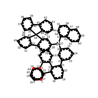 c1ccc(-c2ccccc2-c2c(-c3ccccc3)cccc2-c2cccc(N(c3ccc4c(c3)C3(c5ccccc5-c5ccccc53)c3ccccc3-4)c3cccc4ccccc34)c2)cc1